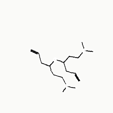 C=CCC(CCN(C)C)OC(CC=C)CCN(C)C